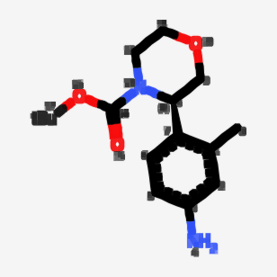 Cc1cc(N)ccc1[C@@H]1COCCN1C(=O)OC(C)(C)C